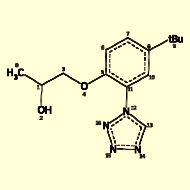 CC(O)COc1ccc(C(C)(C)C)cc1-n1cnnn1